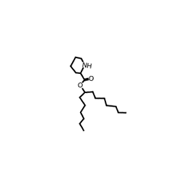 CCCCCCCC(CCCCCC)OC(=O)C1CCCCN1